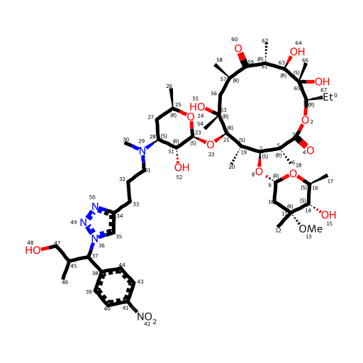 CC[C@H]1OC(=O)[C@H](C)[C@@H](O[C@H]2C[C@@](C)(OC)[C@@H](O)[C@H](C)O2)[C@H](C)[C@@H](O[C@@H]2O[C@H](C)C[C@H](N(C)CCCc3cn(C(c4ccc([N+](=O)[O-])cc4)C(C)CO)nn3)[C@H]2O)[C@](C)(O)C[C@@H](C)C(=O)[C@H](C)[C@@H](O)[C@]1(C)O